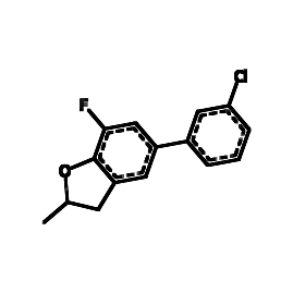 CC1Cc2cc(-c3cccc(Cl)c3)cc(F)c2O1